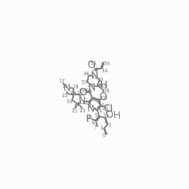 C=C/C=C(O)\C(=C(/C)F)c1nc(N2CC3(CN(C)C3)CC2(C)C)c2c(c1Cl)OC[C@H]1CN(C(=O)C=C)CCN1C2=O